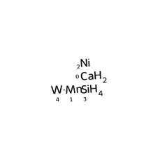 [CaH2].[Mn].[Ni].[SiH4].[W]